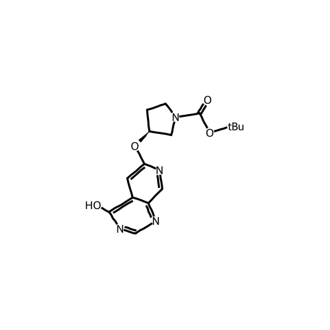 CC(C)(C)OC(=O)N1CC[C@H](Oc2cc3c(O)ncnc3cn2)C1